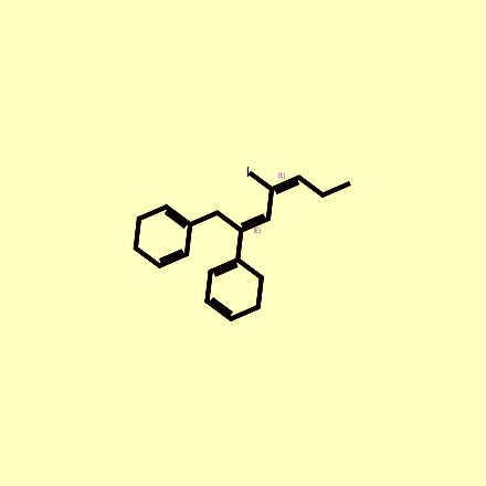 CC/C=C(I)\C=C(/CC1=CCCC=C1)C1=CC=CCC1